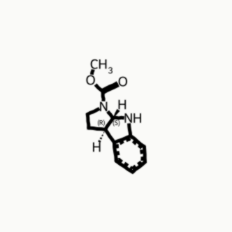 COC(=O)N1CC[C@@H]2c3ccccc3N[C@H]21